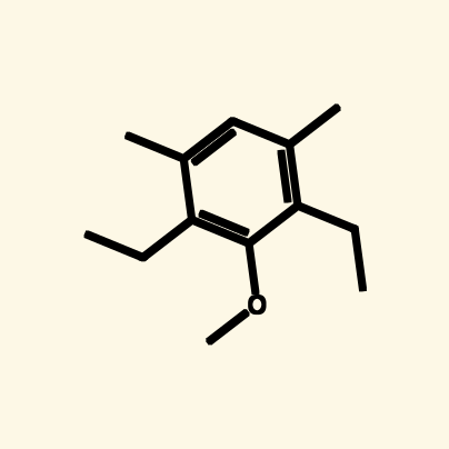 CCc1c(C)cc(C)c(CC)c1OC